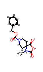 CN1C(=O)OC(=O)C12CCN(C(=O)OCc1ccccc1)CC2